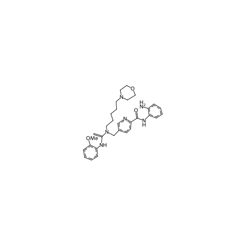 C=C(Nc1ccccc1OC)N(CCCCCN1CCOCC1)Cc1ccc(C(=O)Nc2ccccc2N)nc1